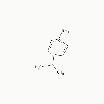 CC(C)c1ccc([SiH3])cc1